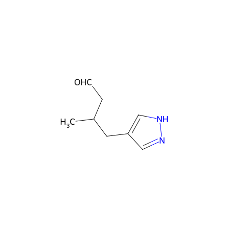 CC(CC=O)Cc1cn[nH]c1